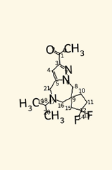 CC(=O)c1cc2n(n1)CC1(CCC(F)(F)C1)CN(C(C)C)C2